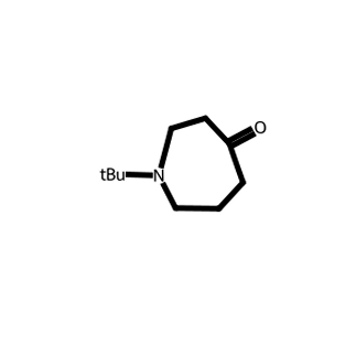 CC(C)(C)N1CCCC(=O)CC1